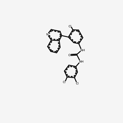 O=C(Nc1ccc(Cl)c(Cl)c1)Nc1ccc(Cl)c(-c2ccnc3ccccc23)c1